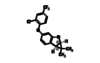 CC1(C)[C@@H]2Oc3cc(Oc4ccc(C(F)(F)F)cc4Cl)ccc3[C@@H]21